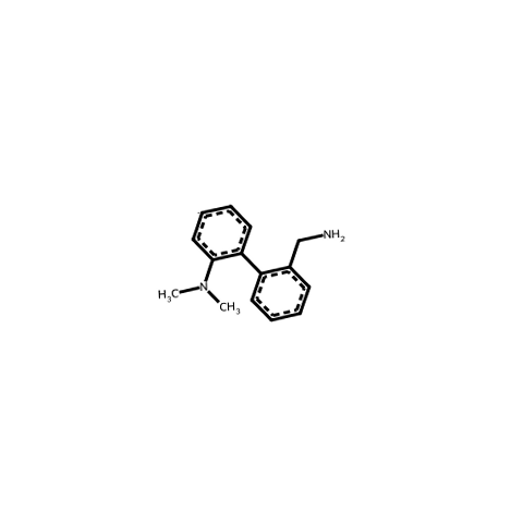 CN(C)c1c[c]ccc1-c1ccccc1CN